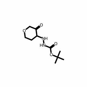 CC(C)(C)OC(=O)NNC1CCOCC1=O